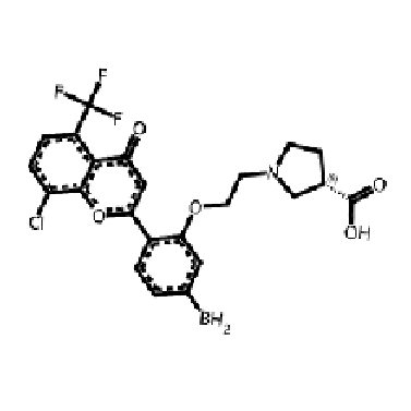 Bc1ccc(-c2cc(=O)c3c(C(F)(F)F)ccc(Cl)c3o2)c(OCCN2CC[C@H](C(=O)O)C2)c1